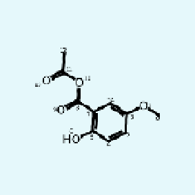 COc1ccc(O)c(C(=O)OC(C)=O)c1